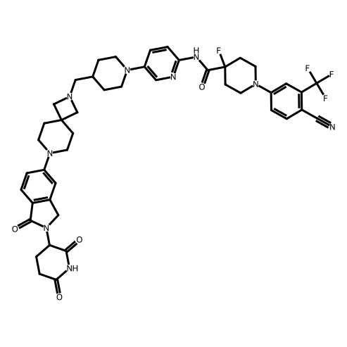 N#Cc1ccc(N2CCC(F)(C(=O)Nc3ccc(N4CCC(CN5CC6(CCN(c7ccc8c(c7)CN(C7CCC(=O)NC7=O)C8=O)CC6)C5)CC4)cn3)CC2)cc1C(F)(F)F